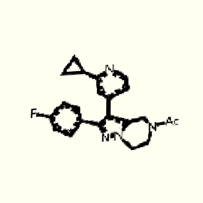 CC(=O)N1CCn2nc(-c3ccc(F)cc3)c(-c3ccnc(C4CC4)c3)c2C1